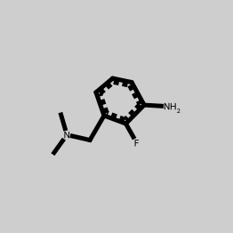 CN(C)Cc1cccc(N)c1F